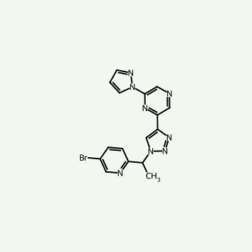 CC(c1ccc(Br)cn1)n1cc(-c2cncc(-n3cccn3)n2)nn1